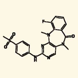 CN1C(=O)c2cccc(F)c2N(C)c2nc(Nc3ccc(S(C)(=O)=O)cc3)ncc21